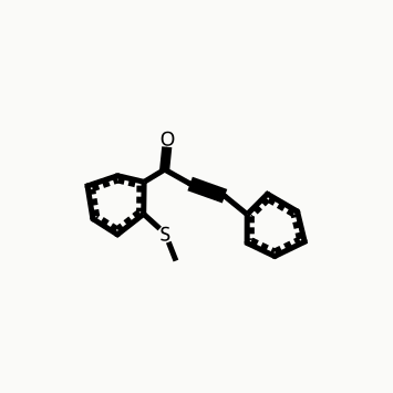 CSc1ccccc1C(=O)C#Cc1ccccc1